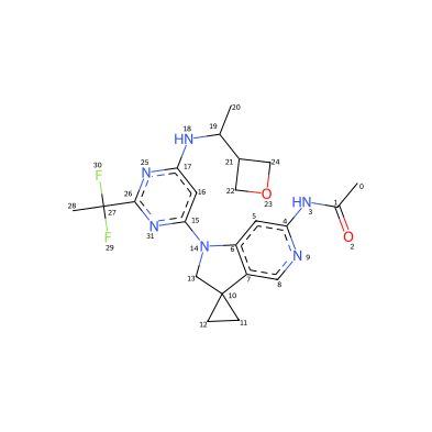 CC(=O)Nc1cc2c(cn1)C1(CC1)CN2c1cc(NC(C)C2COC2)nc(C(C)(F)F)n1